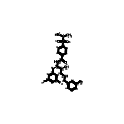 CCCCN(C)S(=O)(=O)c1ccc(C(=O)N[C@@H](Cc2cc(F)cc(F)c2)[C@H](O)CNCc2cccc(CC)c2)cc1